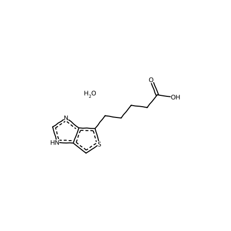 O.O=C(O)CCCCc1scc2[nH]cnc12